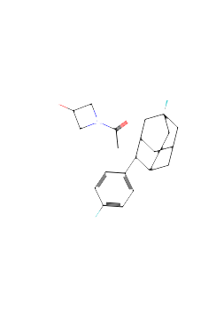 O=C(C[C@]1(c2ccc(F)cc2)C2CC3CC1C[C@@](F)(C3)C2)N1CC(O)C1